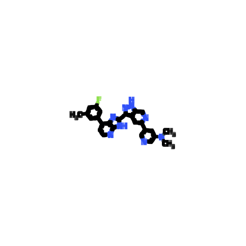 Cc1cc(F)cc(-c2ccnc3[nH]c(-c4n[nH]c5cnc(-c6cncc(N(C)C)c6)cc45)nc23)c1